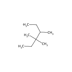 [CH2]CC(C)C(C)(C)CC